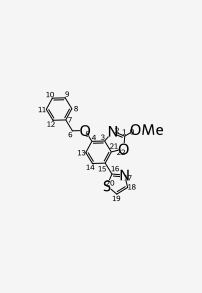 COc1nc2c(OCc3ccccc3)ccc(-c3nccs3)c2o1